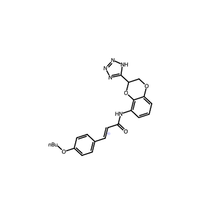 CCCCOc1ccc(/C=C/C(=O)Nc2cccc3c2OC(c2nnn[nH]2)CO3)cc1